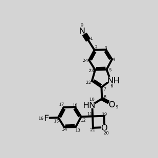 N#Cc1ccc2[nH]c(C(=O)NC3(c4ccc(F)cc4)COC3)cc2c1